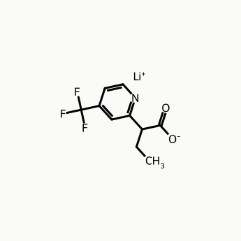 CCC(C(=O)[O-])c1cc(C(F)(F)F)ccn1.[Li+]